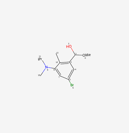 COC(O)c1cc(Br)cc(N(C)C(C)C)c1C